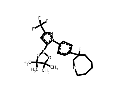 CC1(C)OB(c2cc(C(F)(F)F)nn2-c2ccc(C3(F)CCCCCCC3)cc2)OC1(C)C